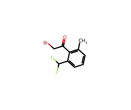 Cc1cccc(C(F)F)c1C(=O)CBr